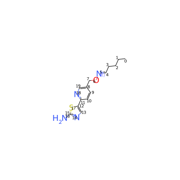 CCCC/C=N/OCc1ccc(-c2cnc(N)s2)nc1